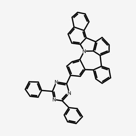 c1ccc(-c2nc(-c3ccccc3)nc(-c3ccc4c(c3)-c3ccccc3-c3cccc5c6c7ccccc7ccc6n-4c35)n2)cc1